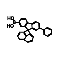 OB(O)c1ccc2c(c1)C1(c3cc(-c4ccccc4)ccc3-2)c2cccc3cccc1c23